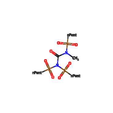 CCCCCS(=O)(=O)N(C)C(=O)N(S(=O)(=O)CCCCC)S(=O)(=O)CCCCC